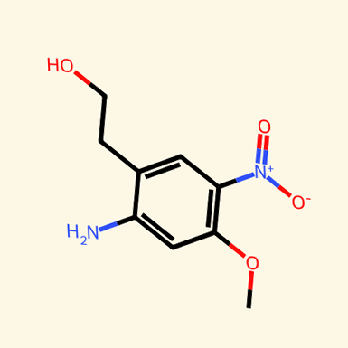 COc1cc(N)c(CCO)cc1[N+](=O)[O-]